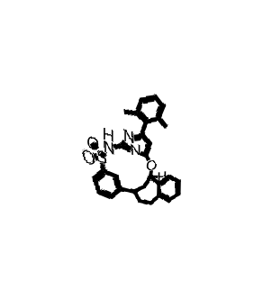 Cc1cccc(C)c1-c1cc2nc(n1)NS(=O)(=O)c1cccc(c1)C1CCc3ccccc3[C@H](C1)O2